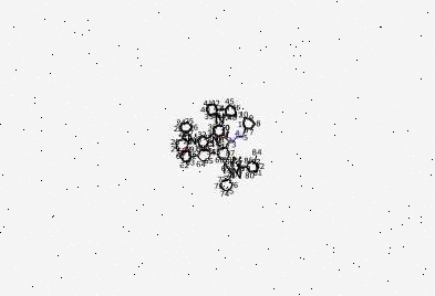 C=C/C(=C\C=C\c1ccccc1)C1=C(n2c3ccc(-n4c5c(c6ccccc64)C=CCC5)cc3c3cc(-n4c5ccccc5c5ccccc54)ccc32)C(C2C=CC(c3ccccc3)CC2)=CC(c2nc(C3=CC=CCC3)nc(-c3cccc(C)c3)n2)C1